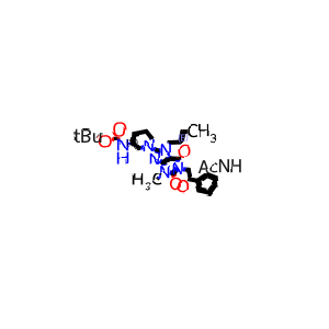 C/C=C/Cn1c(N2CCC[C@H](NC(=O)OC(C)(C)C)C2)nc2c1c(=O)n(CC(=O)c1ccccc1NC(C)=O)c(=O)n2C